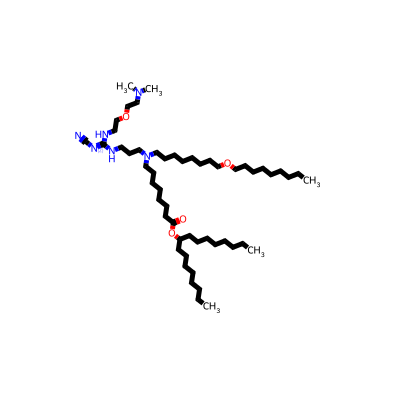 CCCCCCCCCOCCCCCCCCN(CCCCCCCC(=O)OC(CCCCCCCC)CCCCCCCC)CCCN/C(=N/C#N)NCCOCCN(C)C